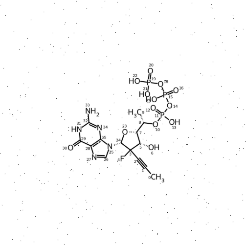 CC#CC1(F)[C@@H](O)[C@@H]([C@H](C)OP(=O)(O)OP(=O)(O)OP(=O)(O)O)O[C@H]1n1cnc2c(=O)[nH]c(N)nc21